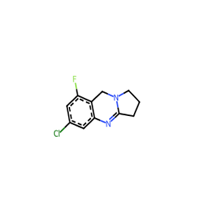 Fc1cc(Cl)cc2c1CN1CCCC1=N2